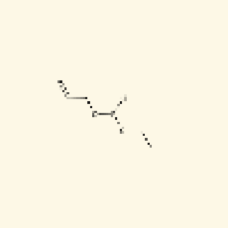 C=CCOP(Cl)OCC=C